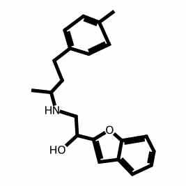 Cc1ccc(CCC(C)NCC(O)c2cc3ccccc3o2)cc1